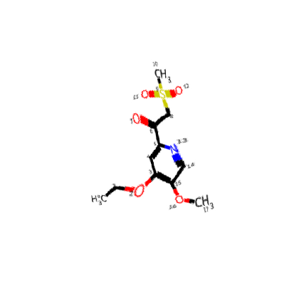 CCOc1cc(C(=O)CS(C)(=O)=O)ncc1OC